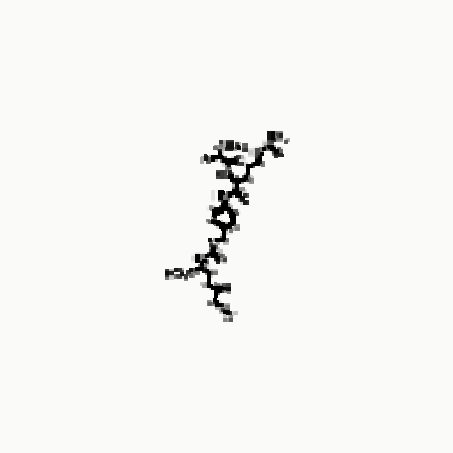 CC(=O)NC(C(=O)NC(CCCNC(N)=O)C(=O)Nc1ccc(COC(=O)NC(CCC(=O)C=[N+]=[N-])C(=O)O)cc1)C(C)C